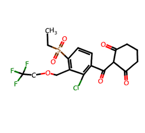 CCS(=O)(=O)c1ccc(C(=O)C2C(=O)CCCC2=O)c(Cl)c1COCC(F)(F)F